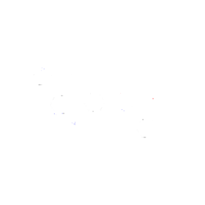 CC1N=CC=C1c1cnc(N)c(-c2ccc(C(=O)N[C@H](CO)c3cccc(F)c3)c(F)c2)c1